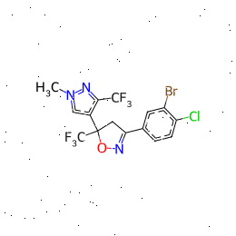 Cn1cc(C2(C(F)(F)F)CC(c3ccc(Cl)c(Br)c3)=NO2)c(C(F)(F)F)n1